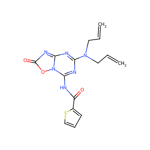 C=CCN(CC=C)c1nc(NC(=O)c2cccs2)n2oc(=O)nc2n1